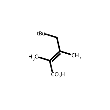 CC(CC(C)(C)C)=C(C)C(=O)O